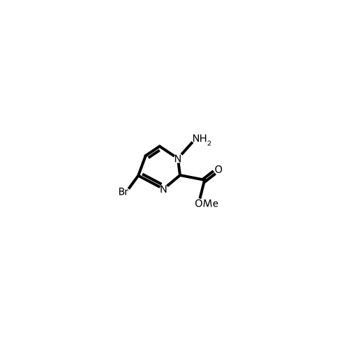 COC(=O)C1N=C(Br)C=CN1N